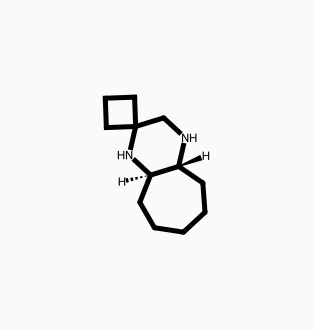 C1CC[C@H]2NCC3(CCC3)N[C@@H]2CC1